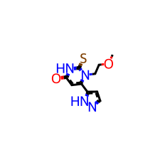 COCCn1c(-c2ccn[nH]2)cc(=O)[nH]c1=S